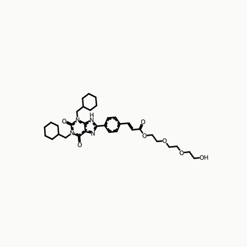 O=C(/C=C/c1ccc(-c2nc3c(=O)n(CC4CCCCC4)c(=O)n(CC4CCCCC4)c3[nH]2)cc1)OCCOCCOCCO